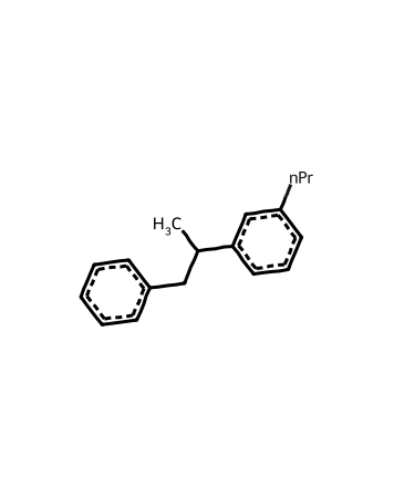 CCCc1cccc(C(C)Cc2ccccc2)c1